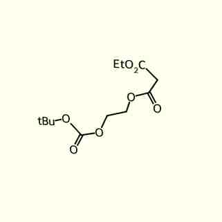 CCOC(=O)CC(=O)OCCOC(=O)OC(C)(C)C